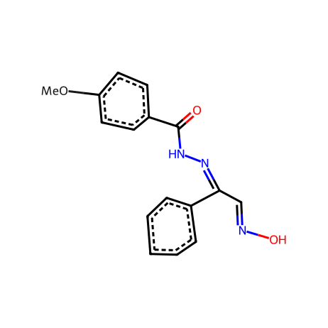 COc1ccc(C(=O)NN=C(C=NO)c2ccccc2)cc1